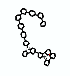 c1ccc(-c2cccc(-c3ccc(-c4cccc(-c5cccc(-c6ccc(-c7ccc(-c8ccc(-n9c%10ccccc%10c%10cc(-c%11ccc%12c(c%11)c%11ccccc%11n%12-c%11ccccc%11-c%11ccccc%11)ccc%109)cc8)cc7)cc6)c5)c4)cc3)c2)cc1